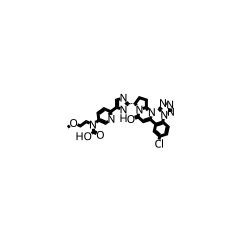 COCCN(C(=O)O)c1ccc(-c2cnc([C@@H]3CCc4nc(-c5cc(Cl)ccc5-n5cnnn5)cc(=O)n43)[nH]2)nc1